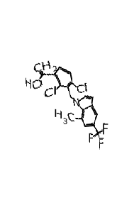 C=C(O)c1ccc(Cl)c(Cn2ccc3cc(C(F)(F)F)cc(C)c32)c1Cl